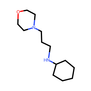 C1CCC(NCCCN2CCOCC2)CC1